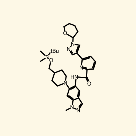 Cn1ncc2cc(NC(=O)c3cccc(-c4cnn(C5CCCCO5)c4)n3)c(N3CCC(CO[Si](C)(C)C(C)(C)C)CC3)cc21